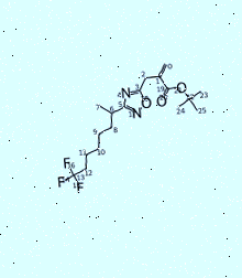 C=C(Cc1nc(C(C)CCCCCC(F)(F)F)no1)C(=O)OC(C)(C)C